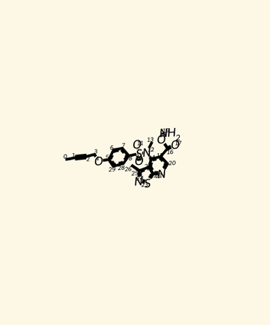 CC#CCOc1ccc(S(=O)(=O)N(C)c2c(C(=O)ON)cnc3snc(C)c23)cc1